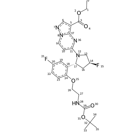 CCOC(=O)c1cnn2ccc(N3C[C@@H](F)C[C@@H]3c3cc(F)ccc3OCCNC(=O)OC(C)(C)C)nc12